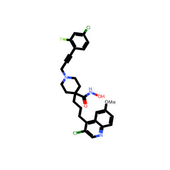 COc1ccc2ncc(Cl)c(CCCC3(C(=O)NO)CCN(CC#Cc4ccc(Cl)cc4F)CC3)c2c1